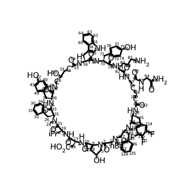 CCCC[C@H]1C(=O)N2C[C@@H](O)C[C@@H]2C(=O)N[C@@H](CC(=O)O)C(=O)N[C@@H](C(C)C)C(=O)N(C)[C@@H](Cc2ccccc2)C(=O)N[C@@H](Cc2ccc(O)cc2)C(=O)NC[C@@H](O)CCC(=O)N[C@@H](Cc2c[nH]c3ccccc23)C(=O)N[C@@H](Cc2ccc(O)cc2)C(=O)N[C@@H](CCCN)C(=O)N[C@H](C(=O)NCC(N)=O)CSCC(=O)N[C@@H](Cc2cc(F)c(F)c(F)c2)C(=O)N(C)[C@@H](Cc2ccccc2)C(=O)N1C